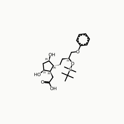 CC(C)(C)[Si](C)(C)O[C@@H](CC[C@@H]1[C@@H](CC(=O)O)[C@@H](O)C[C@H]1O)COc1ccccc1